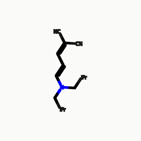 CC(C)CN(C=CC=C(C#N)C#N)CC(C)C